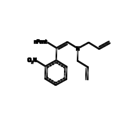 C=CCN(/C=C(/CCCCC)c1ccccc1[N+](=O)[O-])CC=C